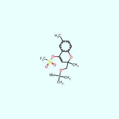 Cc1ccc2c(c1)C(OS(=O)(=O)C(F)(F)F)=CC(C)(CO[Si](C)(C)C(C)(C)C)O2